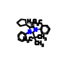 Cc1ccccc1N1C(C(C)(C)C)N(c2ccccc2)C(C2CCCC2)[C@@H]1C